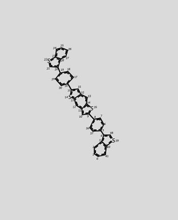 c1ccc2c(-c3ccc(-c4cc5cc6sc(-c7ccc(-c8csc9ccccc89)cc7)cc6cc5s4)cc3)csc2c1